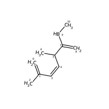 C=C(C)/C=C\C(C)C(=C)BC